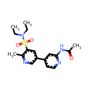 CCN(CC)S(=O)(=O)c1cc(-c2ccnc(NC(C)=O)c2)cnc1C